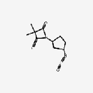 CC1(C)C(=O)N(C2CCC(N=C=O)C2)C1=O